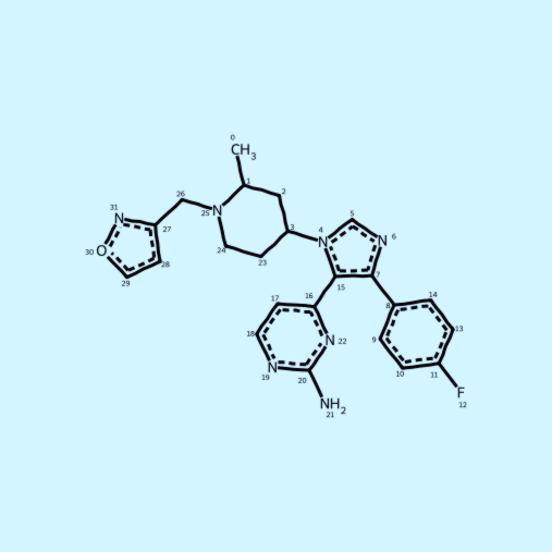 CC1CC(n2cnc(-c3ccc(F)cc3)c2-c2ccnc(N)n2)CCN1Cc1ccon1